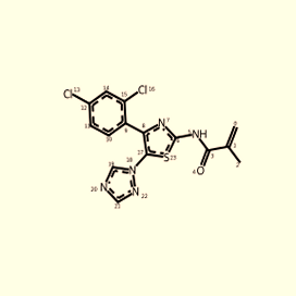 C=C(C)C(=O)Nc1nc(-c2ccc(Cl)cc2Cl)c(-n2cncn2)s1